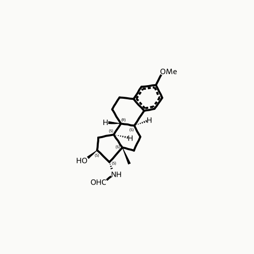 COc1ccc2c(c1)CC[C@@H]1[C@@H]2CC[C@]2(C)[C@H](NC=O)[C@@H](O)C[C@@H]12